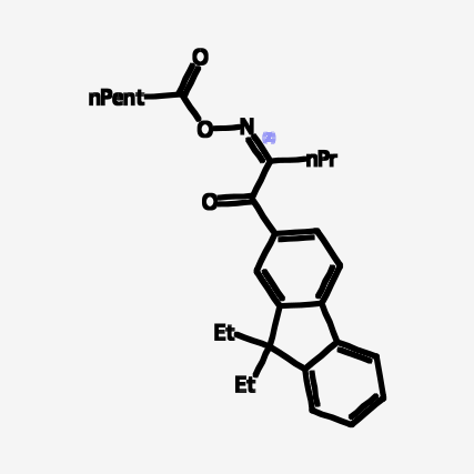 CCCCCC(=O)O/N=C(/CCC)C(=O)c1ccc2c(c1)C(CC)(CC)c1ccccc1-2